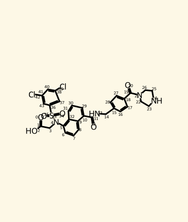 O=C(O)CN(c1cccc2c(C(=O)NCc3ccc(C(=O)N4CCNCC4)cc3)cccc12)S(=O)(=O)c1cc(Cl)cc(Cl)c1